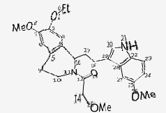 CCOc1cc2c(cc1OC)CCN(C(=O)COC)C2CCc1c[nH]c2ccc(OC)cc12